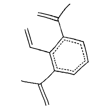 C=Cc1c(C(=C)C)cccc1C(=C)C